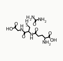 NC(CCC(=O)NC(CS)C(=O)NCC(=O)O)C(=O)O.NC(N)=O